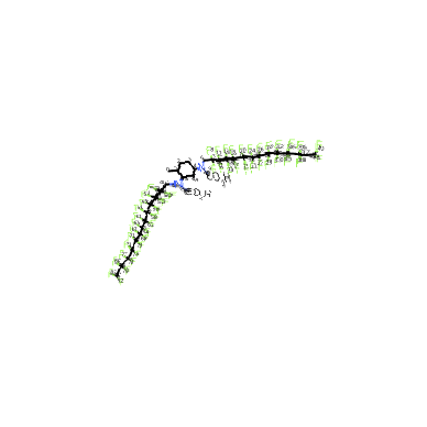 CC1CCC(N(CC(F)(F)C(F)(F)C(F)(F)C(F)(F)C(F)(F)C(F)(F)C(F)(F)C(F)(F)C(F)(F)C(F)(F)C(F)(F)C(F)F)C(=O)O)CC1N(CC(F)(F)C(F)(F)C(F)(F)C(F)(F)C(F)(F)C(F)(F)C(F)(F)C(F)(F)C(F)(F)C(F)(F)C(F)(F)C(F)F)C(=O)O